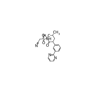 CC(C)CC(C(=O)NS(=O)(=O)CC#N)c1cccc(-c2ncccn2)c1